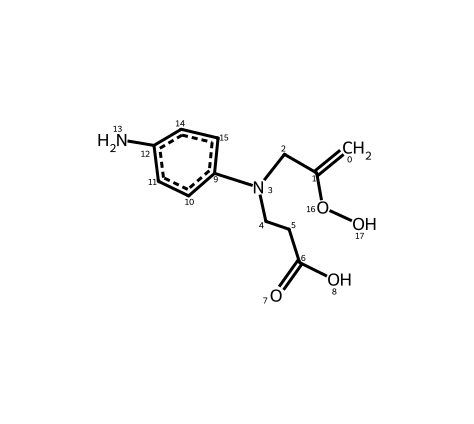 C=C(CN(CCC(=O)O)c1ccc(N)cc1)OO